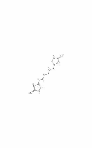 O=C1OCC(COCCOCC2COC(=O)O2)O1